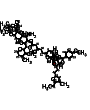 C=C1C[C@H](CC[C@]23O[C@H]4C[C@H](CCC(O)CC(=O)O[C@H]5C(CC6OCC[C@@H](C)C6=C)O[C@H]6CC(O[Si](C)(C)C(C)(C)C)C(CC=O)O[C@H]6[C@@H]5N)O[C@@H]5[C@@H]4OC4(O[C@@H](c6ccc(OC)cc6)O[C@H]42)[C@@H]5O3)OC1CC